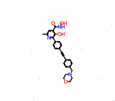 Cc1cc(C(=O)NO)c(O)c(-c2ccc(C#Cc3ccc(CN4CCOCC4)cc3)cc2)n1